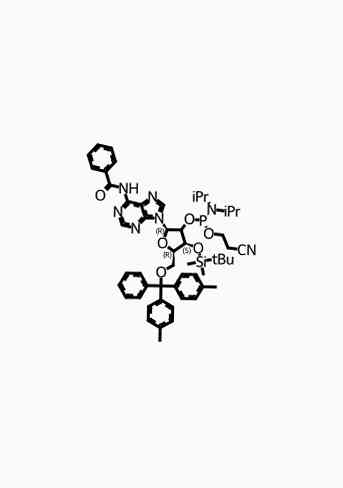 Cc1ccc(C(OC[C@H]2O[C@@H](n3cnc4c(NC(=O)c5ccccc5)ncnc43)C(OP(OCCC#N)N(C(C)C)C(C)C)[C@H]2O[Si](C)(C)C(C)(C)C)(c2ccccc2)c2ccc(C)cc2)cc1